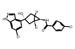 O=C(N[C@H]1[C@@H]2C[C@@](O)(c3cc(Cl)cc4[nH]ncc34)C[C@@H]21)c1ccc(Cl)cc1